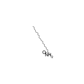 CCCCCCCCCCCCCCCCCCC(CCCC)C(N)=O